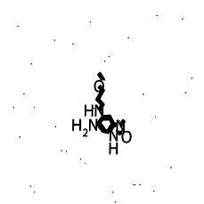 CCOCCCNc1cc2c(cc1N)[nH]c(=O)n2C